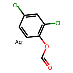 O=COc1ccc(Cl)cc1Cl.[Ag]